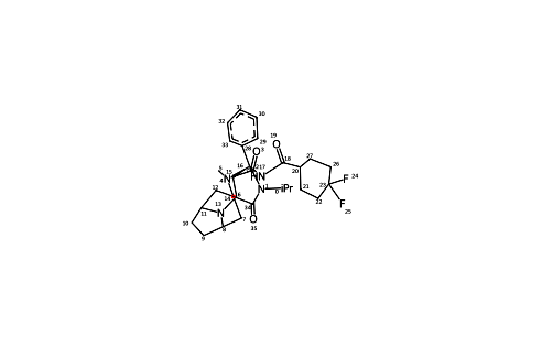 CC(C)N1C(=O)N(C)C2(CC3CCC(C2)N3CC[C@H](NC(=O)C2CCC(F)(F)CC2)c2ccccc2)C1=O